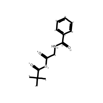 CC(C)(C)C(=O)OC(=O)CNC(=O)c1ccccc1